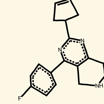 Fc1ccc(-c2nc(C3CC=CC3)nc3c2CNCC3)cc1